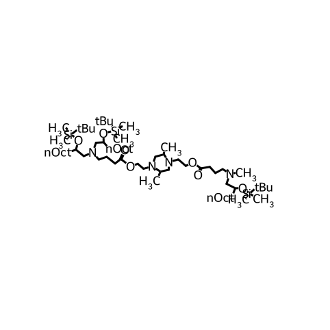 CCCCCCCCC(CN(C)CCCC(=O)OCCN1CC(C)N(CCOC(=O)CCCN(CC(CCCCCCCC)O[Si](C)(C)C(C)(C)C)CC(CCCCCCCC)O[Si](C)(C)C(C)(C)C)CC1C)O[Si](C)(C)C(C)(C)C